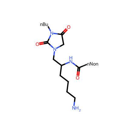 CCCCCCCCCC(=O)NC(CCCCN)CN1CC(=O)N(CCCC)C1=O